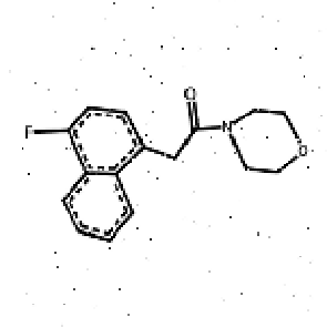 O=C(Cc1ccc(F)c2ccccc12)N1CCOCC1